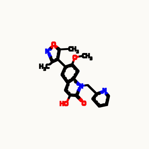 COc1cc2c(cc1-c1c(C)noc1C)cc(O)c(=O)n2Cc1ccccn1